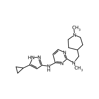 CN1CCC(CN(C)c2nccc(Nc3cc(C4CC4)[nH]n3)n2)CC1